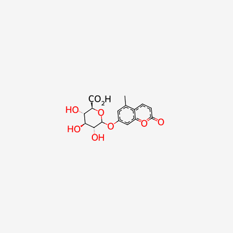 Cc1cc(OC2O[C@H](C(=O)O)[C@@H](O)[C@H](O)[C@H]2O)cc2oc(=O)ccc12